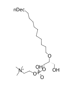 CCCCCCCCCCCCCCCCCCCCO[C@H](CO)COP(=O)(O)OCC[N+](C)(C)C